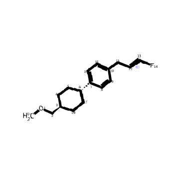 COC[C@H]1CC[C@H](c2ccc(C/C=C/F)cc2)CC1